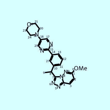 COc1ccc2nnc(C(C)c3cccc(-c4ncc(N5CCOCC5)cn4)c3)n2n1